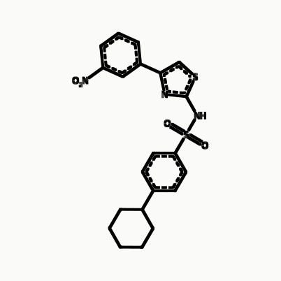 O=[N+]([O-])c1cccc(-c2csc(NS(=O)(=O)c3ccc(C4CCCCC4)cc3)n2)c1